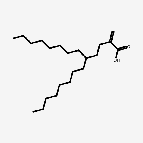 C=C(CCC(CCCCCCCC)CCCCCCCC)C(=O)O